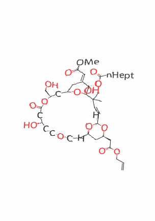 C=CCOC(=O)C[C@H]1C[C@H]2CCOCC[C@@H](O)CC(=O)O[C@@H](CO)CC3C/C(=C\C(=O)OC)[C@H](OC(=O)CCCCCCC)[C@@](O)(O3)C(C)(C)/C=C/[C@H](O2)O1